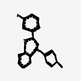 CC1C=CC(c2cc(-c3cccc(Br)c3)nc3ccccc23)=CC1